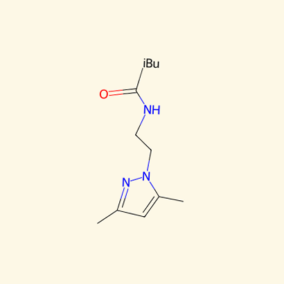 CCC(C)C(=O)NCCn1nc(C)cc1C